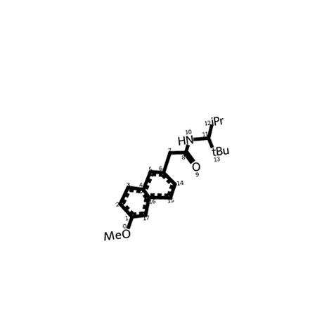 COc1ccc2cc(CC(=O)NC(C(C)C)C(C)(C)C)ccc2c1